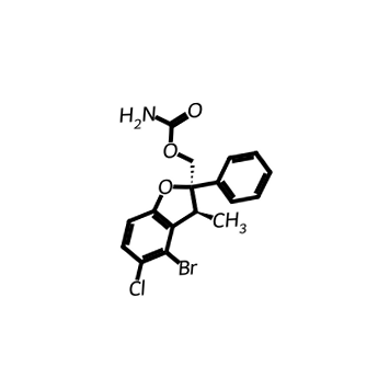 C[C@H]1c2c(ccc(Cl)c2Br)O[C@@]1(COC(N)=O)c1ccccc1